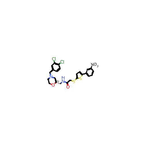 O=C(CSc1ccc(-c2cccc([N+](=O)[O-])c2)s1)NC[C@H]1CN(Cc2ccc(Cl)c(Cl)c2)CCO1